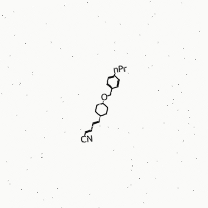 CCCc1ccc(CO[C@H]2CC[C@H](C=CC=CC#N)CC2)cc1